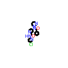 O=C(Nc1ccc(Cl)cn1)c1cc(N(C(=O)c2ccccc2)N2C=CC=CN=C2)ccn1